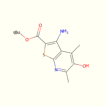 Cc1nc2sc(C(=O)OC(C)(C)C)c(N)c2c(C)c1O